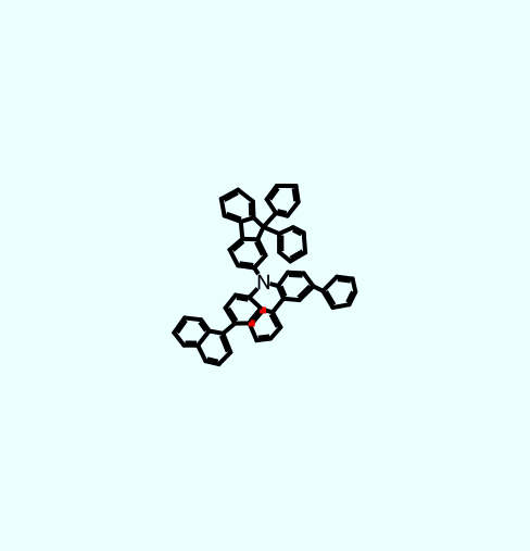 c1ccc(-c2ccc(N(c3ccc(-c4cccc5ccccc45)cc3)c3ccc4c(c3)C(c3ccccc3)(c3ccccc3)c3ccccc3-4)c(-c3ccccc3)c2)cc1